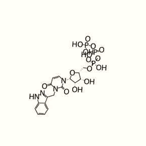 O=c1ccn([C@@H]2O[C@H](COP(=O)(O)OP(=O)(O)OP(=O)(O)O)[C@H](O)[C@@H]2O)c(=O)n1Cc1n[nH]c2ccccc12